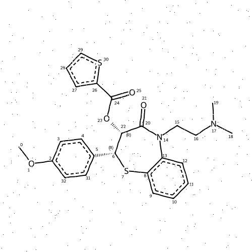 COc1ccc([C@H]2Sc3ccccc3N(CCN(C)C)C(=O)[C@H]2OC(=O)c2cccs2)cc1